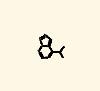 CC(C)c1ccnn2nncc12